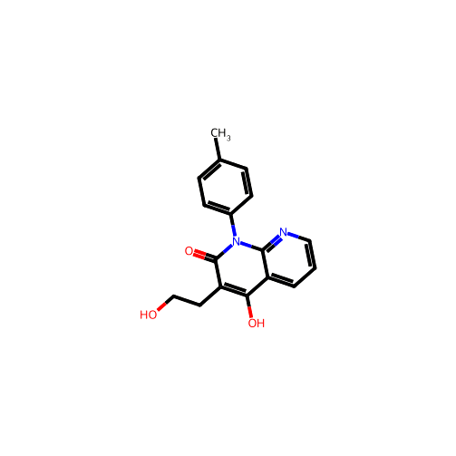 Cc1ccc(-n2c(=O)c(CCO)c(O)c3cccnc32)cc1